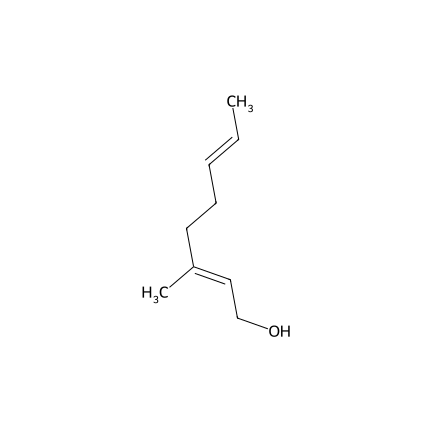 CC=CCCC(C)=CCO